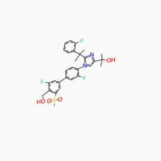 CC(C)(O)c1cn(-c2ccc(-c3cc(F)c(CO)c(S(C)(=O)=O)c3)cc2F)c(C(C)(C)c2ccccc2F)n1